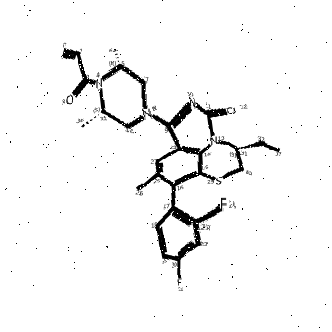 C=CC(=O)N1[C@H](C)CN(c2nc(=O)n3c4c(c(-c5ccc(F)cc5F)c(C)cc24)SC[C@@H]3CC)C[C@@H]1C